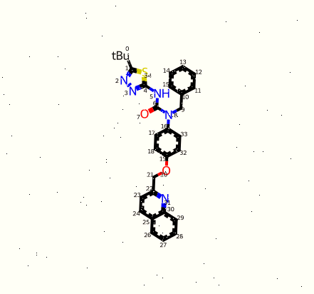 CC(C)(C)c1nnc(NC(=O)N(Cc2ccccc2)c2ccc(OCc3ccc4ccccc4n3)cc2)s1